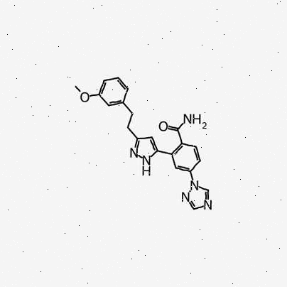 COc1cccc(CCc2cc(-c3cc(-n4cncn4)ccc3C(N)=O)[nH]n2)c1